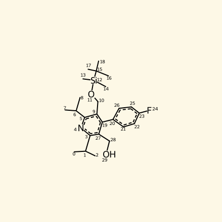 CC(C)c1nc(C(C)C)c(CO[Si](C)(C)C(C)(C)C)c(-c2ccc(F)cc2)c1CO